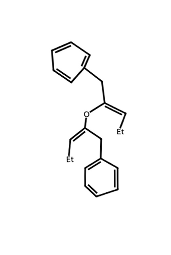 CCC=C(Cc1ccccc1)OC(=CCC)Cc1ccccc1